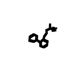 CC(Br)CCCc1ccccc1-c1ccccc1